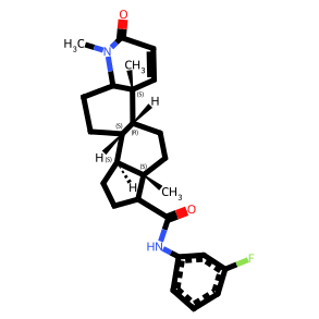 CN1C(=O)C=C[C@@]2(C)C1CC[C@@H]1[C@H]2CC[C@]2(C)C(C(=O)Nc3cccc(F)c3)CC[C@@H]12